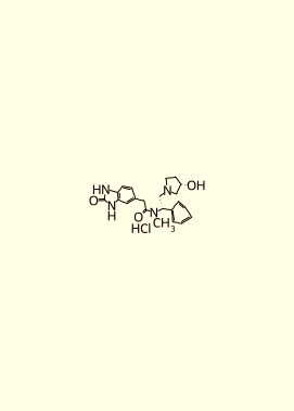 CN(C(=O)Cc1ccc2[nH]c(=O)[nH]c2c1)[C@H](CN1CC[C@H](O)C1)c1ccccc1.Cl